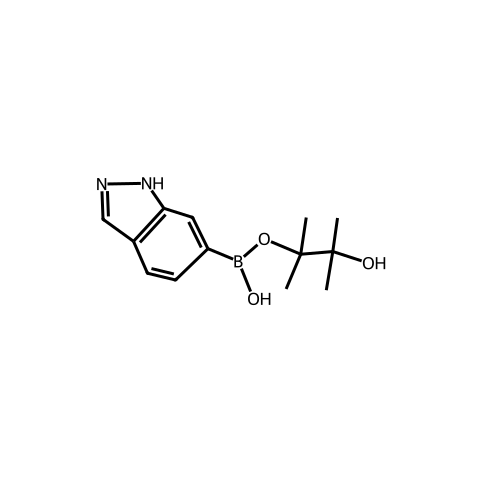 CC(C)(O)C(C)(C)OB(O)c1ccc2cn[nH]c2c1